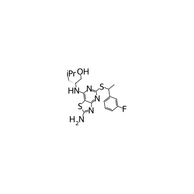 CC(C)C[C@H](CO)Nc1nc(SC(C)c2cccc(F)c2)nc2nc(N)sc12